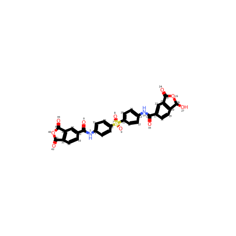 O=C(Nc1ccc(S(=O)(=O)c2ccc(NC(=O)c3ccc4c(c3)C(=O)OC4O)cc2)cc1)c1ccc2c(c1)C(=O)OC2=O